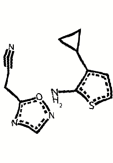 N#CCc1ncno1.Nc1sccc1C1CC1